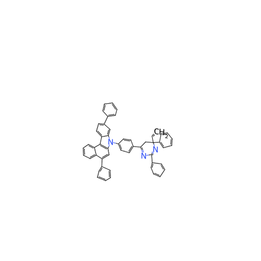 C=CC1(c2ccccc2)CC(c2ccc(-n3c4cc(-c5ccccc5)ccc4c4c5ccccc5c(-c5ccccc5)cc43)cc2)=NC(c2ccccc2)=N1